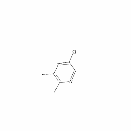 Cc1[c]c(Cl)cnc1C